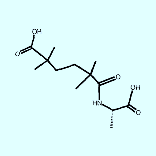 C[C@H](NC(=O)C(C)(C)CCC(C)(C)C(=O)O)C(=O)O